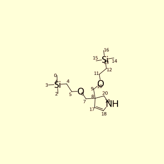 C[Si](C)(C)CCOCC1(COCC[Si](C)(C)C)C=CNC1